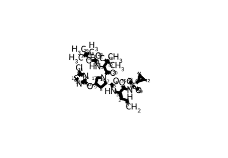 C=C/C=C(/NC(=O)[C@@H]1C[C@@H](Oc2nsc(Cl)n2)CN1C(=O)[C@@H](NC(=O)OC(C)(C)C)C(C)(C)C)C(=O)NS(=O)(=O)C1CC1